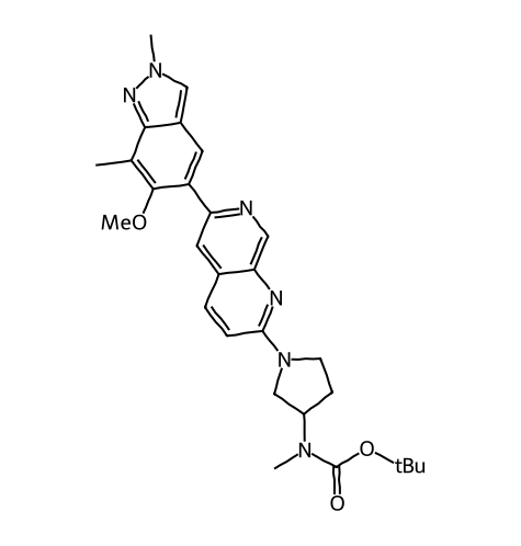 COc1c(-c2cc3ccc(N4CCC(N(C)C(=O)OC(C)(C)C)C4)nc3cn2)cc2cn(C)nc2c1C